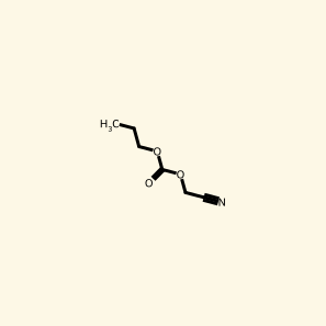 CCCOC(=O)OCC#N